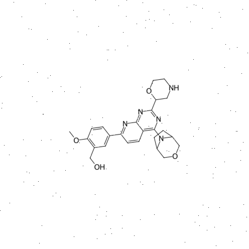 COc1ccc(-c2ccc3c(N4C5CCC4COC5)nc(C4CNCCO4)nc3n2)cc1CO